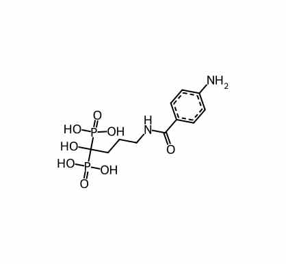 Nc1ccc(C(=O)NCCCC(O)(P(=O)(O)O)P(=O)(O)O)cc1